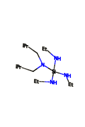 CCN[Si](NCC)(NCC)N(CC(C)C)CC(C)C